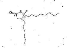 CCCCCCCC[C@@]1(C)SC(=O)C=C1OCCCCC